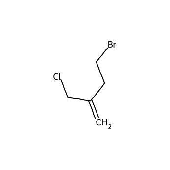 C=C(CCl)CCBr